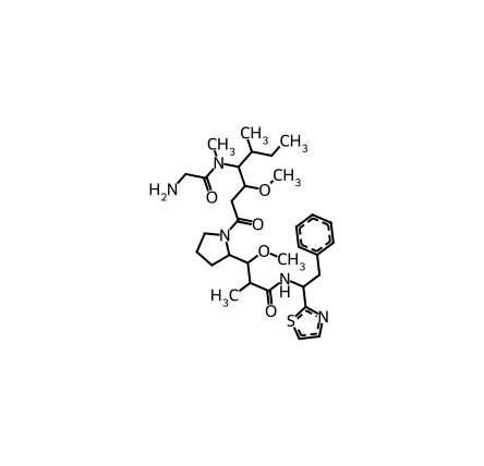 CCC(C)C(C(CC(=O)N1CCCC1C(OC)C(C)C(=O)NC(Cc1ccccc1)c1nccs1)OC)N(C)C(=O)CN